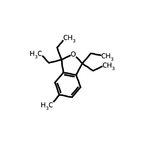 CCC1(CC)OC(CC)(CC)c2cc(C)ccc21